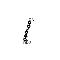 CCCC[C@H]1CC[C@H](c2ccc(-c3ccc(CCC4CCC(c5ccc(C#N)cc5)CC4)cc3)cc2)CC1